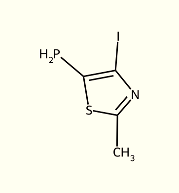 Cc1nc(I)c(P)s1